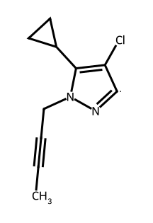 CC#CCn1n[c]c(Cl)c1C1CC1